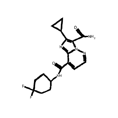 NC(=O)c1c(C2CC2)nc2c(C(=O)NC3CCC(F)(F)CC3)ccnn12